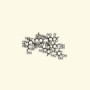 CC(=O)N[C@H]1[C@H](O[C@@H]2[C@H](O[C@]3(C(=O)O)C[C@H](O)[C@@H](NC(C)=O)[C@H]([C@H](O)[C@@H](CO)O[C@]4(C(=O)O)C[C@H](O)[C@@H](NC(C)=O)[C@H]([C@H](O)[C@@H](CO)O[C@]5(C(=O)O)C[C@H](O)[C@@H](NC(C)=O)[C@H]([C@H](O)[C@H](O)CO)O5)O4)O3)[C@@H](O)[C@H](O[C@H]3[C@H](O)[C@@H](O)C(O)O[C@@H]3CO)O[C@@H]2CO)O[C@H](CO)[C@H](O)[C@@H]1O